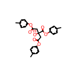 Cc1ccc(OC(=O)CC(O)(CC(=O)Oc2ccc(C)cc2)C(=O)Oc2ccc(C)cc2)cc1